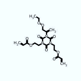 C=CC(=O)OCCn1c(=O)n(CCOC(=O)C=C)c(=O)n(C(=C)COOCC)c1=O